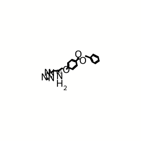 N[C@@H](COc1ccc(C(=O)OCc2ccccc2)cc1)Cn1ncnn1